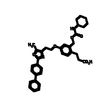 Cc1oc(-c2ccc(-c3ccccc3)cc2)nc1CCOc1ccc(CCC(=O)O)c(COC(=O)NC2CCCCC2)c1